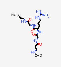 N=C(N)NCCCC(NC(=O)CNC(=O)CCNC=O)C(=O)NCC(=O)NCCC(=O)O